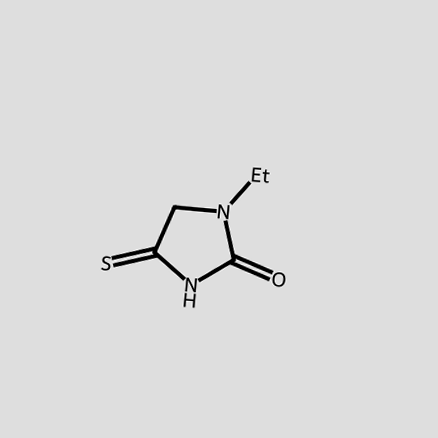 CCN1CC(=S)NC1=O